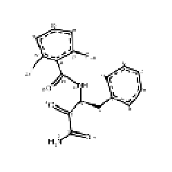 NC(=O)C(=O)[C@H](Cc1ccccc1)NC(=O)c1c(F)cccc1I